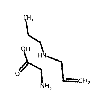 C=CCNCCC.NCC(=O)O